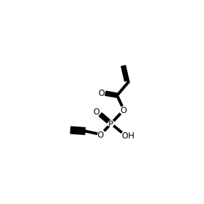 C#COP(=O)(O)OC(=O)C=C